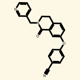 N#Cc1ccc(Oc2ccc3c(c2)C(=O)N(Cc2cccnc2)CC3)cc1